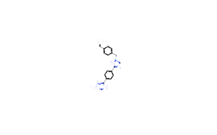 C=Cc1ccc(Cn2cnc(-c3ccc(-c4nc[nH]n4)cc3)n2)cc1